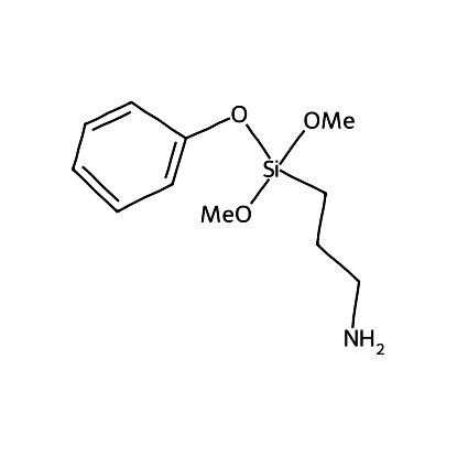 CO[Si](CCCN)(OC)Oc1ccccc1